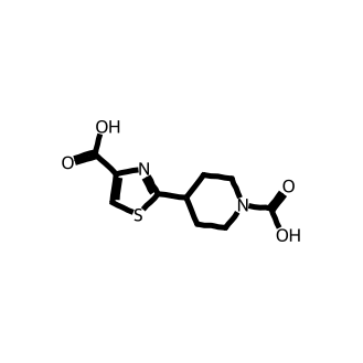 O=C(O)c1csc(C2CCN(C(=O)O)CC2)n1